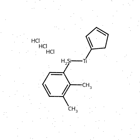 Cc1cccc([SiH2][Ti][C]2=CC=CC2)c1C.Cl.Cl.Cl